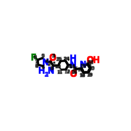 N[C@H](C(=O)N1CC[C@@H](F)C1)[C@H]1CC[C@H](NC(=O)c2cccc(O)n2)CC1